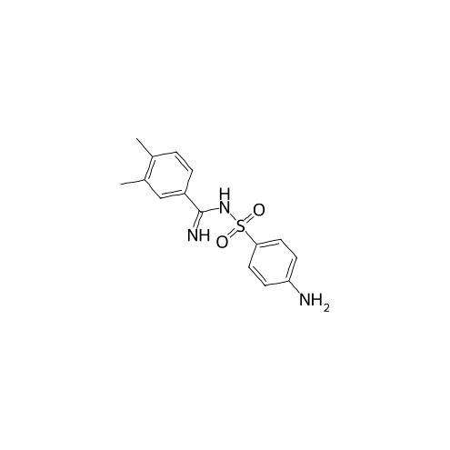 Cc1ccc(C(=N)NS(=O)(=O)c2ccc(N)cc2)cc1C